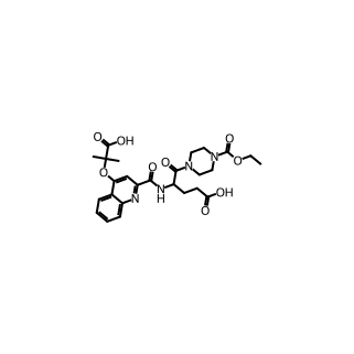 CCOC(=O)N1CCN(C(=O)C(CCC(=O)O)NC(=O)c2cc(OC(C)(C)C(=O)O)c3ccccc3n2)CC1